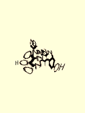 C[C@@H](c1nc(C(=O)Nc2cnoc2)c(O)c(=O)n1C)[C@H](c1cnn(C)c1)c1ccc(O)cc1C#N